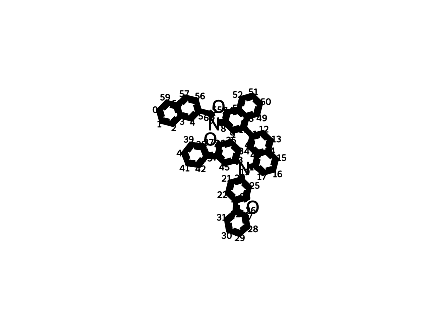 c1ccc2cc(-c3nc4cc(-c5ccc6cccc(N(c7ccc8c(c7)oc7ccccc78)c7ccc8oc9ccccc9c8c7)c6c5)c5ccccc5c4o3)ccc2c1